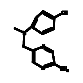 CN(Cc1cnc(N)cn1)c1ccc(C#N)cc1